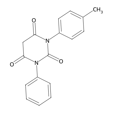 Cc1ccc(N2C(=O)CC(=O)N(c3ccccc3)C2=O)cc1